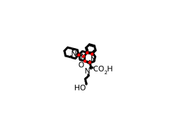 O=C(O)/C(=N\CCCO)c1nc2ccccc2n(C2CC3CCCC(C2)N3C2CC3CCCCC(C3)C2)c1=O